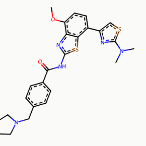 COc1ccc(-c2csc(N(C)C)n2)c2sc(NC(=O)c3ccc(CN4CCCC4)cc3)nc12